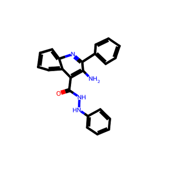 Nc1c(-c2ccccc2)nc2ccccc2c1C(=O)NNc1ccccc1